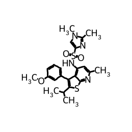 COc1cccc(-c2c(C(C)C)sc3nc(C)cc(NS(=O)(=O)c4cn(C)c(C)n4)c23)c1